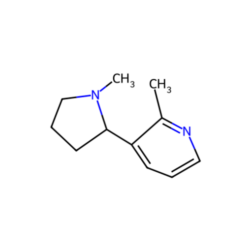 Cc1ncccc1C1CCCN1C